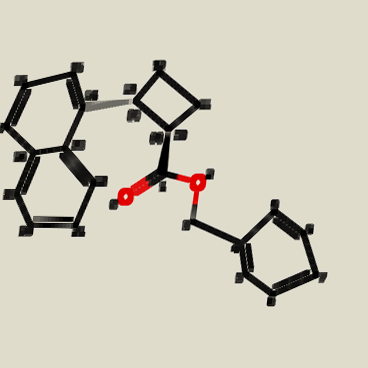 O=C(OCc1ccccc1)[C@@H]1CC[C@H]1c1cccc2ccccc12